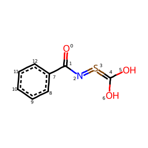 O=C(N=S=C(O)O)c1ccccc1